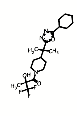 CC(C)(c1nnc(C2CCCCC2)o1)C1CCN(C(=O)[C@@](C)(O)C(F)(F)F)CC1